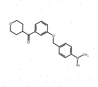 CC(=O)N(C)c1ccc(COc2cccc(C(=O)C3CCOCC3)c2)cc1